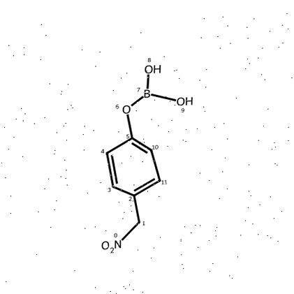 O=[N+]([O-])Cc1ccc(OB(O)O)cc1